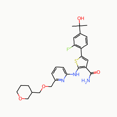 CC(C)(O)c1ccc(-c2cc(C(N)=O)c(Nc3cccc(COCC4CCCOC4)n3)s2)c(F)c1